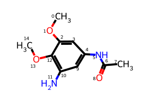 COc1cc(NC(C)=O)cc(N)c1OC